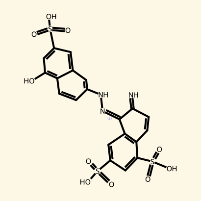 N=C1C=Cc2c(cc(S(=O)(=O)O)cc2S(=O)(=O)O)/C1=N/Nc1ccc2c(O)cc(S(=O)(=O)O)cc2c1